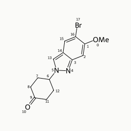 COc1cc2nn(C3CCC(=O)CC3)cc2cc1Br